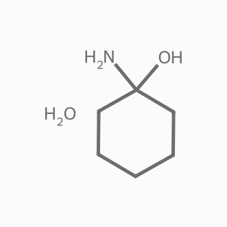 NC1(O)CCCCC1.O